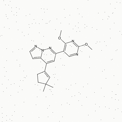 COc1ncc(-c2cc(C3=CC(C)(C)CC3)c3ccnn3n2)c(OC)n1